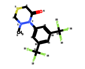 CN1CSCC(=O)N1c1cc(C(F)(F)F)cc(C(F)(F)F)c1